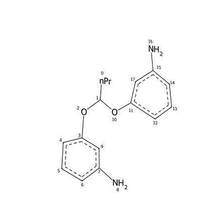 CCCC(Oc1cccc(N)c1)Oc1cccc(N)c1